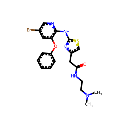 CN(C)CCNC(=O)Cc1csc(Nc2ncc(Br)cc2Oc2ccccc2)n1